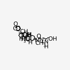 CN(C(=O)N1CCNC(CO)C1)[C@H]1CC[C@@]2(C)[C@H](CC[C@@H]3[C@@H]2CC[C@]2(C)[C@@H](c4ccc(=O)oc4)CC[C@]32O)C1